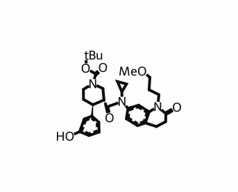 COCCCN1C(=O)CCc2ccc(N(C(=O)[C@H]3CN(C(=O)OC(C)(C)C)CC[C@@H]3c3cccc(O)c3)C3CC3)cc21